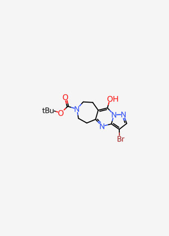 CC(C)(C)OC(=O)N1CCc2nc3c(Br)cnn3c(O)c2CC1